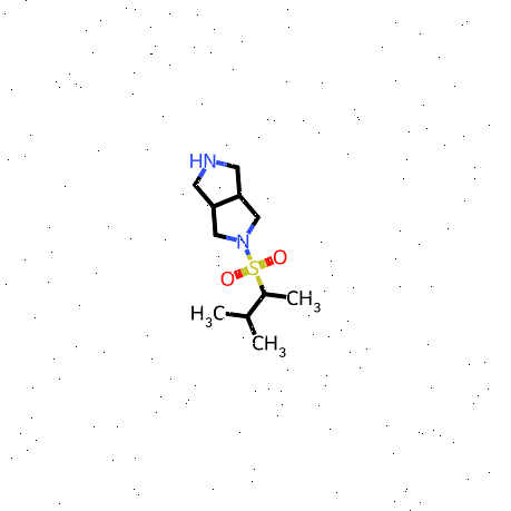 CC(C)C(C)S(=O)(=O)N1CC2CNCC2C1